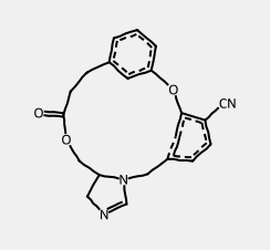 N#Cc1ccc2cc1Oc1cccc(c1)CCC(=O)OCC1CN=CN1C2